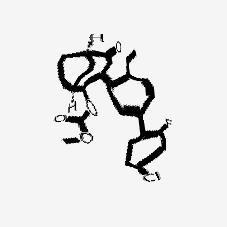 CCc1ccc(-c2ccc(Cl)cc2F)cc1C1=C(OC(=O)OC)[C@H]2CC[C@H](C2)C1=O